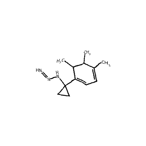 CC1=CC=C(C2(NN=N)CC2)C(C)C1C